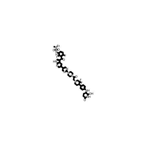 CCN(C)S(=O)(=O)Nc1ccc(F)c(C(=O)c2c[nH]c3ncc(-c4cnc(N5CCN(C(=O)CN6CCC(c7ccc(NC8CCC(=O)NC8O)cc7)C(F)(F)C6)CC5)nc4)cc23)c1F